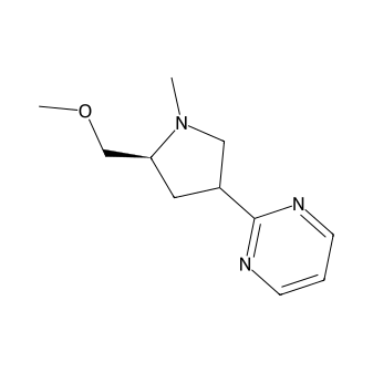 COC[C@@H]1CC(c2ncccn2)CN1C